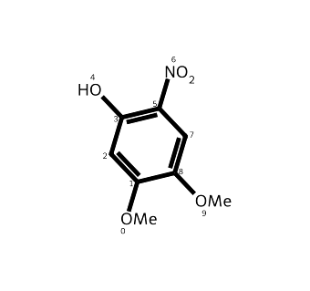 COc1cc(O)c([N+](=O)[O-])cc1OC